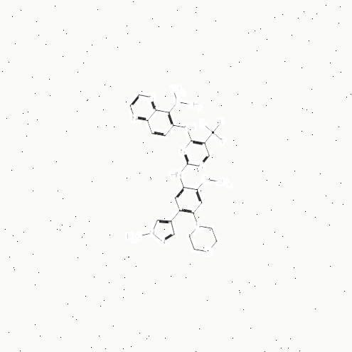 COc1cc(N2CCOCC2)c(-c2cnn(C)c2)cc1Nc1ncc(C(F)(F)F)c(Nc2ccc3nccnc3c2P(C)C)n1